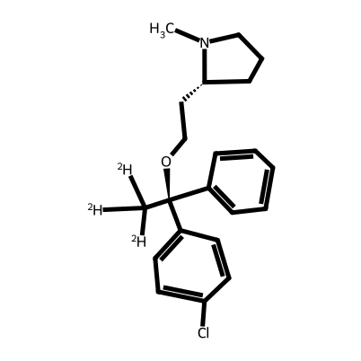 [2H]C([2H])([2H])[C@](OCC[C@H]1CCCN1C)(c1ccccc1)c1ccc(Cl)cc1